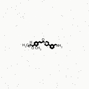 CONC(=O)c1ccc(/C=C/C(=O)N2CCC(c3cccc(CN)c3)CC2)cc1C